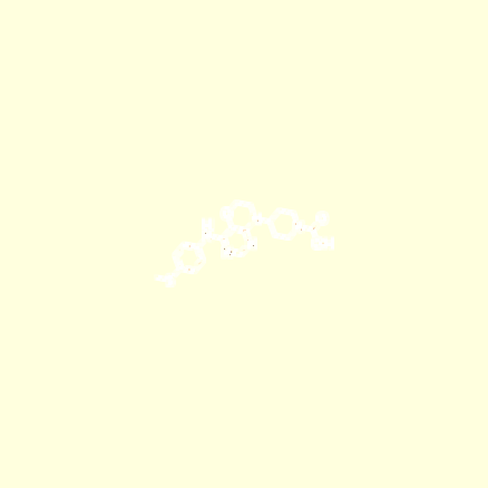 CSc1ccc(Nc2ncnc3c2OCCN3C2CCN(C(=O)O)CC2)cc1